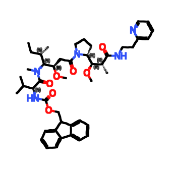 CC[C@H](C)[C@@H]([C@@H](CC(=O)N1CCC[C@@H]1[C@H](OC)[C@@H](C)C(=O)NCCc1ccccn1)OC)N(C)C(=O)[C@@H](NC(=O)OCC1c2ccccc2-c2ccccc21)C(C)C